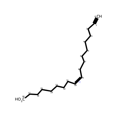 C#CCCCCCCC/C=C\CCCCCCCC(=O)O